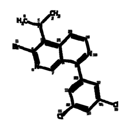 CN(C)c1c(Br)ncc2c(-c3cc(Cl)cc(Cl)c3)nccc12